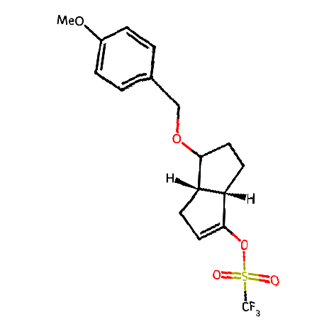 COc1ccc(COC2CC[C@@H]3C(OS(=O)(=O)C(F)(F)F)=CC[C@H]23)cc1